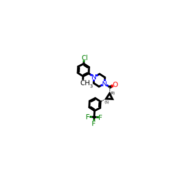 Cc1ccc(Cl)cc1N1CCN(C(=O)[C@@H]2C[C@@H]2c2cccc(C(F)(F)F)c2)CC1